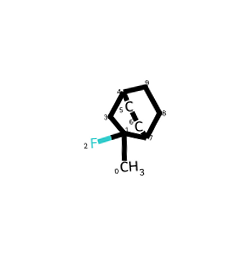 CC1(F)CC2CCC1CC2